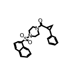 O=C(C1CC1c1ccccc1)N1CCN(S(=O)(=O)c2cccc3ccccc23)CC1